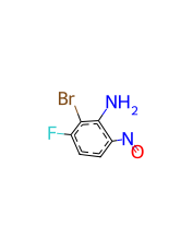 Nc1c(N=O)ccc(F)c1Br